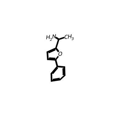 CC(N)c1ccc(-c2ccccc2)o1